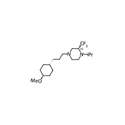 CO[C@H]1CC[C@H](CCCN2CCN(C(C)C)[C@H](C(F)(F)F)C2)CC1